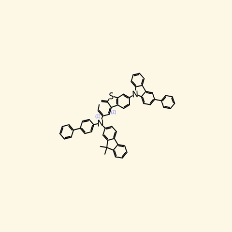 C=c1sc2cc(-n3c4ccccc4c4cc(-c5ccccc5)ccc43)ccc2/c1=C/C(=C\C)N(c1ccc(-c2ccccc2)cc1)c1ccc2c(c1)C(C)(C)c1ccccc1-2